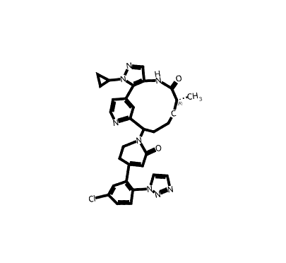 C[C@@H]1CCCC(N2CCC(c3cc(Cl)ccc3-n3ccnn3)=CC2=O)c2cc(ccn2)-c2c(cnn2C2CC2)NC1=O